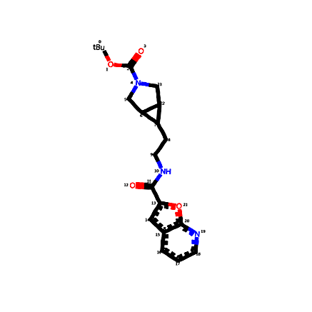 CC(C)(C)OC(=O)N1CC2C(CCNC(=O)c3cc4cccnc4o3)C2C1